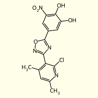 Cc1cc(C)c(-c2noc(-c3cc(O)c(O)c([N+](=O)[O-])c3)n2)c(Cl)n1